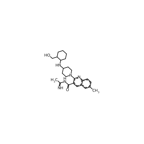 CC(=N)NC(=O)c1cc2cc(C)ccc2nc1N1CCC(NC2CCCCC2CO)CC1